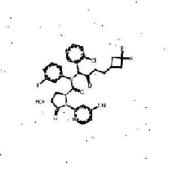 N#Cc1ccnc(N2C(=O)[C@H](O)C[C@H]2C(=O)N(c2cccc(F)c2)[C@H](C(=O)CCC2CC(F)(F)C2)c2ccccc2Cl)c1